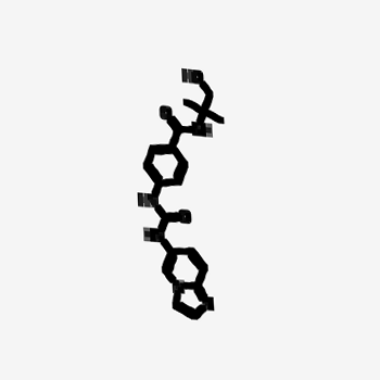 CC(C)(CO)NC(=O)c1ccc(NC(=O)Nc2ccc3nccn3c2)cc1